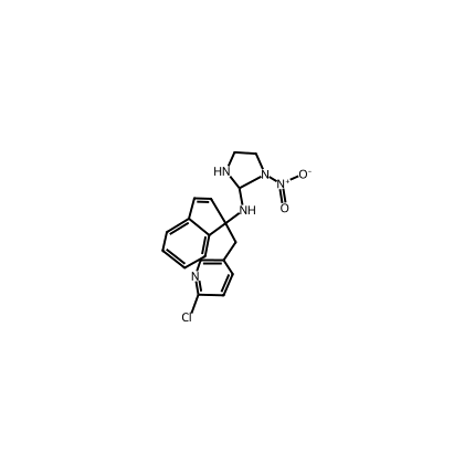 O=[N+]([O-])N1CCNC1NC1(Cc2ccc(Cl)nc2)C=Cc2ccccc21